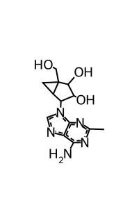 Cc1nc(N)c2ncn(C3C(O)C(O)C4(CO)CC34)c2n1